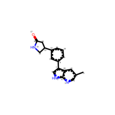 Cc1cnc2[nH]cc(-c3cccc(C4CNC(=O)C4)c3)c2c1